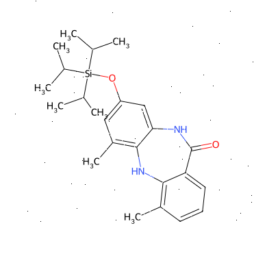 Cc1cc(O[Si](C(C)C)(C(C)C)C(C)C)cc2c1Nc1c(C)cccc1C(=O)N2